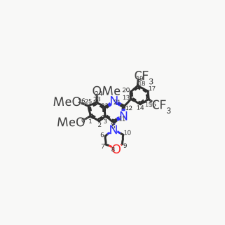 COc1cc2c(N3CCOCC3)nc(-c3cc(C(F)(F)F)cc(C(F)(F)F)c3)nc2c(OC)c1OC